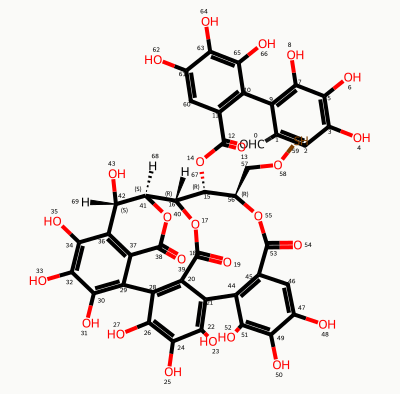 O=Cc1cc(O)c(O)c(O)c1-c1c(C(=O)O[C@H]2[C@@H]3OC(=O)c4c(c(O)c(O)c(O)c4-c4c(O)c(O)c(O)c5c4C(=O)O[C@H]3[C@H]5O)-c3c(cc(O)c(O)c3O)C(=O)O[C@@H]2COS)cc(O)c(O)c1O